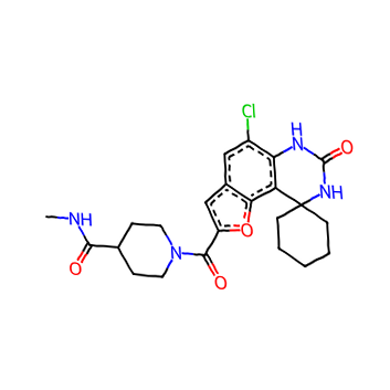 CNC(=O)C1CCN(C(=O)c2cc3cc(Cl)c4c(c3o2)C2(CCCCC2)NC(=O)N4)CC1